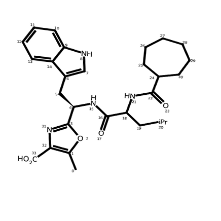 Cc1oc([C@@H](Cc2c[nH]c3ccccc23)NC(=O)C(CC(C)C)NC(=O)C2CCCCCC2)nc1C(=O)O